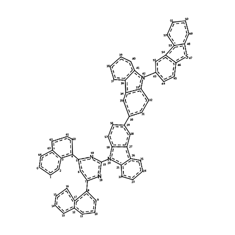 c1ccc2c(-c3cc(-c4cccc5ccccc45)nc(-n4c5ccccc5c5cc(-c6ccc7c(c6)c6ccccc6n7-c6ccc7sc8ccccc8c7c6)ccc54)n3)cccc2c1